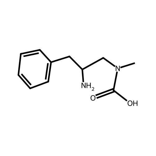 CN(CC(N)Cc1ccccc1)C(=O)O